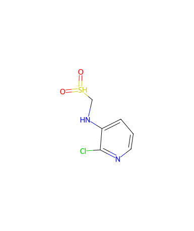 O=[SH](=O)CNc1cccnc1Cl